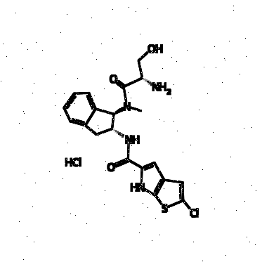 CN(C(=O)[C@@H](N)CO)[C@@H]1c2ccccc2C[C@H]1NC(=O)c1cc2cc(Cl)sc2[nH]1.Cl